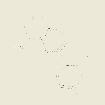 CC(=O)c1cnc(N)c2nc(-c3ccc(C)cc3C(F)(F)F)ccc12